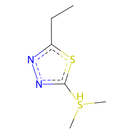 CCc1nnc([SH](C)C)s1